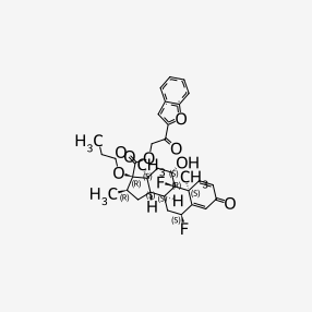 CCC(=O)O[C@]1(C(=O)OCC(=O)c2cc3ccccc3o2)[C@H](C)C[C@H]2[C@@H]3C[C@H](F)C4=CC(=O)C=C[C@]4(C)[C@@]3(F)[C@@H](O)C[C@@]21C